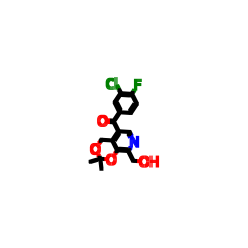 CC1(C)OCc2c(C(=O)c3ccc(F)c(Cl)c3)cnc(CO)c2O1